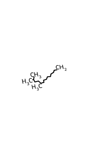 C=CCCCCCCCCC(C)CCC(C)CC